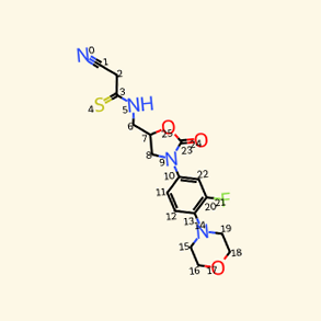 N#CCC(=S)NCC1CN(c2ccc(N3CCOCC3)c(F)c2)C(=O)O1